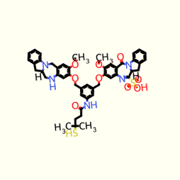 COc1cc2c(cc1OCc1cc(COc3cc4c(cc3OC)CN3c5ccccc5C[C@H]3CN4)cc(NC(=O)CCC(C)(C)S)c1)N=C(S(=O)(=O)O)[C@@H]1Cc3ccccc3N1C2=O